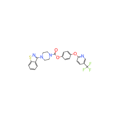 O=C(Oc1ccc(Oc2ccc(C(F)(F)F)cn2)cc1)N1CCN(c2nsc3ccccc23)CC1